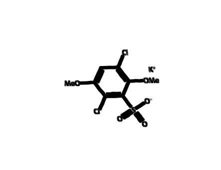 COc1cc(Cl)c(OC)c(S(=O)(=O)[O-])c1Cl.[K+]